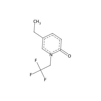 CCc1ccc(=O)n(CC(F)(F)F)c1